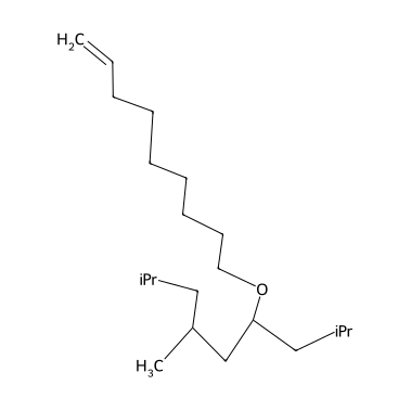 C=CCCCCCCCOC(CC(C)C)CC(C)CC(C)C